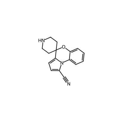 N#Cc1ccc2n1-c1ccccc1OC21CCNCC1